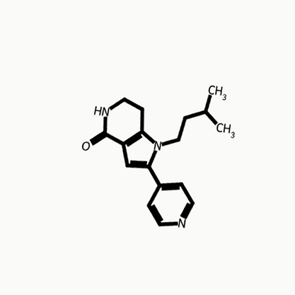 CC(C)CCn1c(-c2ccncc2)cc2c1CCNC2=O